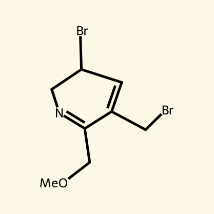 COCC1=NCC(Br)C=C1CBr